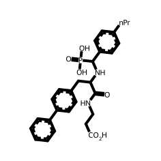 CCCc1ccc(C(NC(Cc2ccc(-c3ccccc3)cc2)C(=O)NCCC(=O)O)P(=O)(O)O)cc1